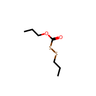 CCCOC(=O)SSCCC